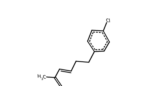 CC(=O)/C=C/CCc1ccc(Cl)cc1